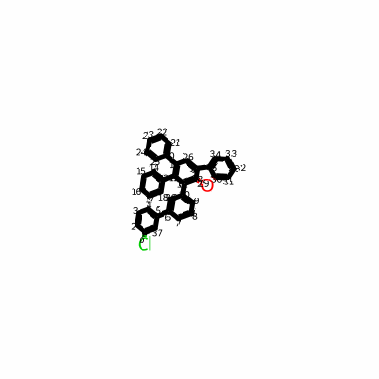 Clc1cccc(-c2cccc(-c3c(-c4ccccc4)c(-c4ccccc4)cc4c3oc3ccccc34)c2)c1